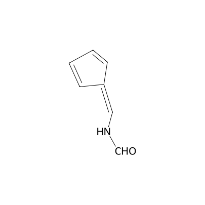 O=CNC=C1C=CC=C1